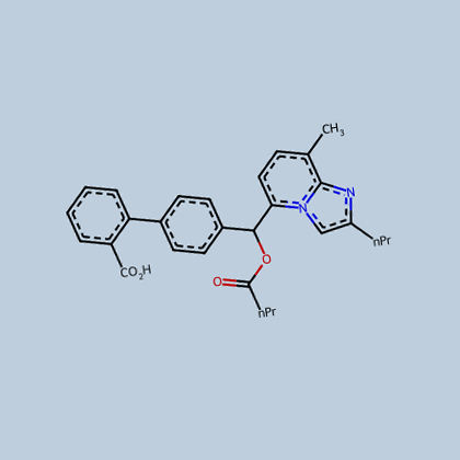 CCCC(=O)OC(c1ccc(-c2ccccc2C(=O)O)cc1)c1ccc(C)c2nc(CCC)cn12